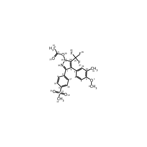 COc1ccc(-c2c(-c3ccc(S(C)(=O)=O)cc3)nn(OC(C)=O)c2C(F)(F)F)cc1C